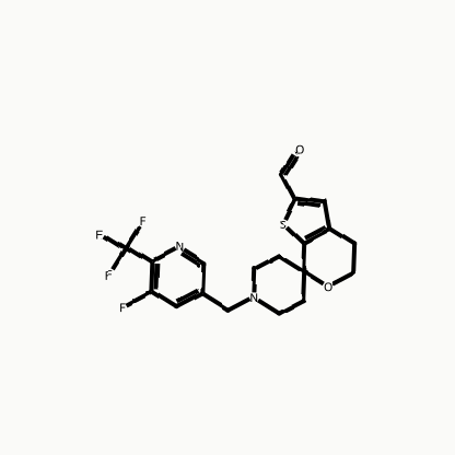 O=Cc1cc2c(s1)C1(CCN(Cc3cnc(C(F)(F)F)c(F)c3)CC1)OCC2